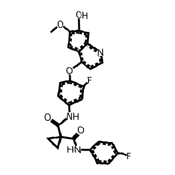 COc1cc2c(Oc3ccc(NC(=O)C4(C(=O)Nc5ccc(F)cc5)CC4)cc3F)ccnc2cc1O